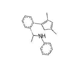 CC1=CC(C)=C(c2ccccc2C(C)Nc2ccccc2)C1